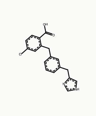 O=C(O)c1ccc(Cl)cc1Cc1cccc(Cc2c[nH]cn2)c1